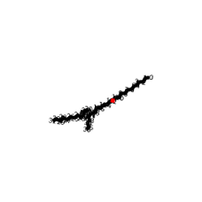 CCCCCCCCCCCCCCCCCCCN1C=CN(CCCCCCCCC)C1CCCC